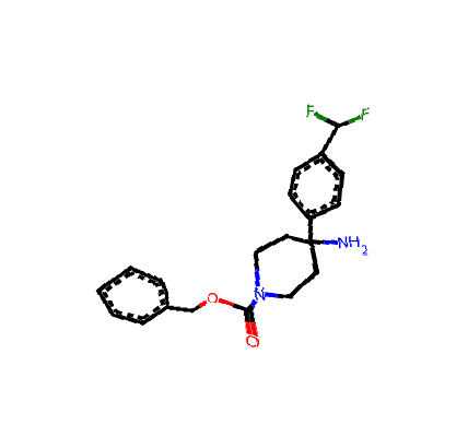 NC1(c2ccc(C(F)F)cc2)CCN(C(=O)OCc2ccccc2)CC1